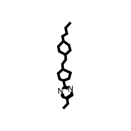 CCCCC1CCC(CCC2CCC(c3ncc(CC)cn3)CC2)CC1